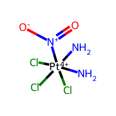 [NH2][Pt+4]([NH2])([Cl])([Cl])([Cl])[N+](=O)[O-]